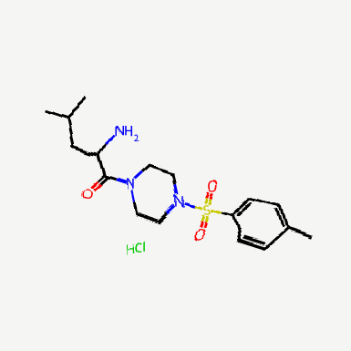 Cc1ccc(S(=O)(=O)N2CCN(C(=O)C(N)CC(C)C)CC2)cc1.Cl